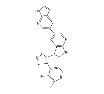 Fc1cccc(-c2cnoc2C2CNc3ncc(-c4cnc5[nH]ccc5c4)cc32)c1F